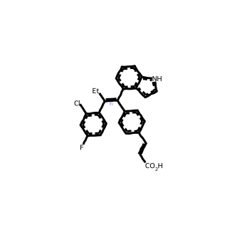 CC/C(=C(/c1ccc(C=CC(=O)O)cc1)c1cccc2[nH]ccc12)c1ccc(F)cc1Cl